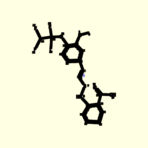 COc1cc(/C=C/SNc2ccccc2C(=O)O)ccc1OC(F)(F)C(F)F